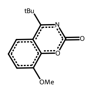 COc1cccc2c(C(C)(C)C)nc(=O)oc12